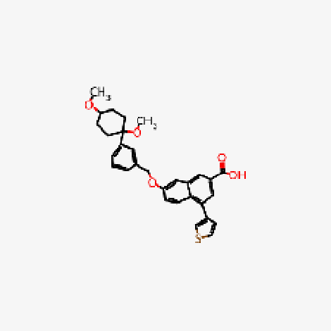 COC1CCC(OC)(c2cccc(COc3ccc4c(-c5ccsc5)cc(C(=O)O)cc4c3)c2)CC1